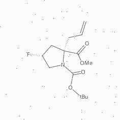 C=CC[C@@]1(C(=O)OC)C[C@@H](F)CN1C(=O)OC(C)(C)C